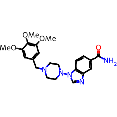 COc1cc(CN2CCN(n3cnc4cc(C(N)=O)ccc43)CC2)cc(OC)c1OC